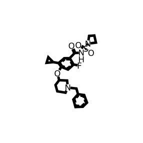 O=C(NS(=O)(=O)N1CCC1)c1cc(C2CC2)c(OC2CCCN(Cc3ccccc3)C2)cc1F